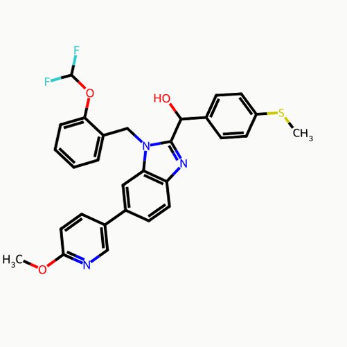 COc1ccc(-c2ccc3nc(C(O)c4ccc(SC)cc4)n(Cc4ccccc4OC(F)F)c3c2)cn1